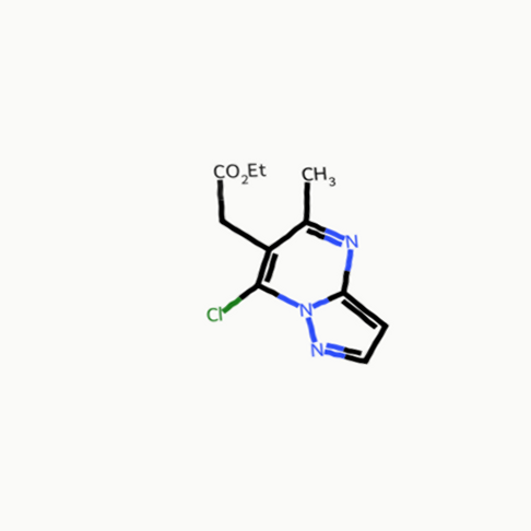 CCOC(=O)Cc1c(C)nc2ccnn2c1Cl